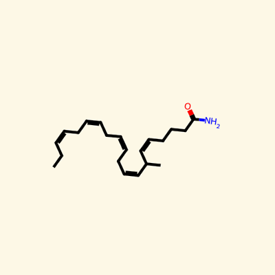 CC/C=C\C/C=C\C/C=C\C/C=C\C(C)/C=C\CCCC(N)=O